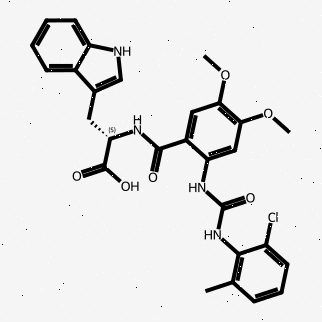 COc1cc(NC(=O)Nc2c(C)cccc2Cl)c(C(=O)N[C@@H](Cc2c[nH]c3ccccc23)C(=O)O)cc1OC